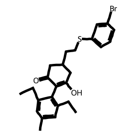 CCc1cc(C)cc(CC)c1C1=C(O)CC(CCSc2cccc(Br)c2)CC1=O